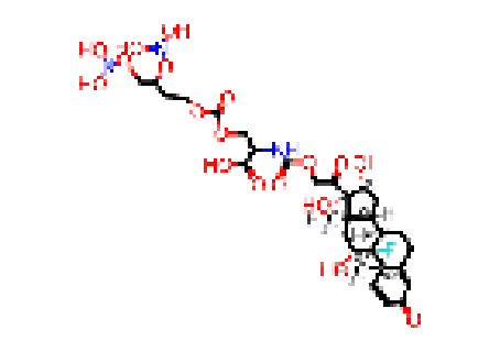 C[C@]12C=CC(=O)C=C1CC[C@H]1[C@@H]3C[C@@H](O)[C@](O)(C(=O)COC(=O)NC(COC(=O)OCCC(CON(O)O)ON(O)O)C(=O)O)[C@@]3(C)C[C@H](O)[C@@]12F